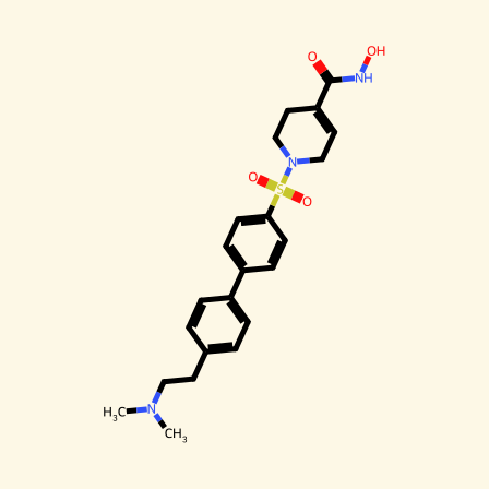 CN(C)CCc1ccc(-c2ccc(S(=O)(=O)N3CC=C(C(=O)NO)CC3)cc2)cc1